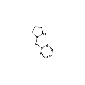 [c]1ccccc1ON1CCCN1